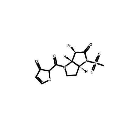 CC(C)[C@H]1C(=O)N(S(C)(=O)=O)[C@H]2CCN(C(=O)C3OC=CC3=O)[C@H]12